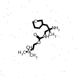 CC(N)(CNC(=O)OCC[Si](C)(C)C)CC1CCCCC1